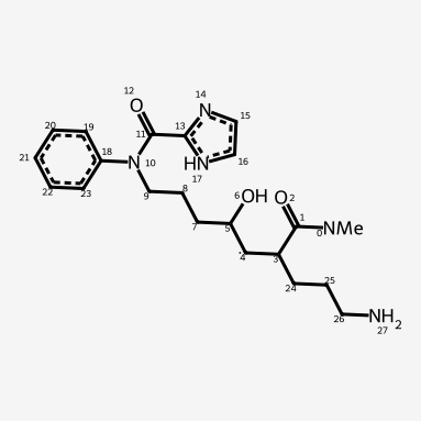 CNC(=O)C([CH]C(O)CCCN(C(=O)c1ncc[nH]1)c1ccccc1)CCCN